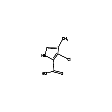 Cc1c[nH]c(C(=O)O)c1Cl